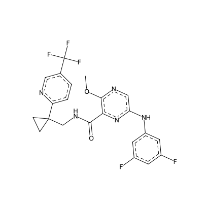 COc1ncc(Nc2cc(F)cc(F)c2)nc1C(=O)NCC1(c2ccc(C(F)(F)F)cn2)CC1